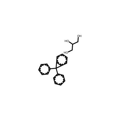 OCC(O)CO.c1ccc(C2(c3ccccc3)c3ccccc32)cc1